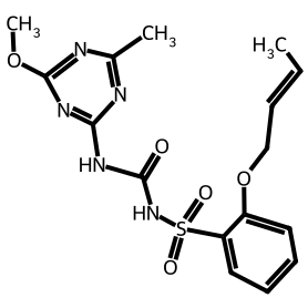 CC=CCOc1ccccc1S(=O)(=O)NC(=O)Nc1nc(C)nc(OC)n1